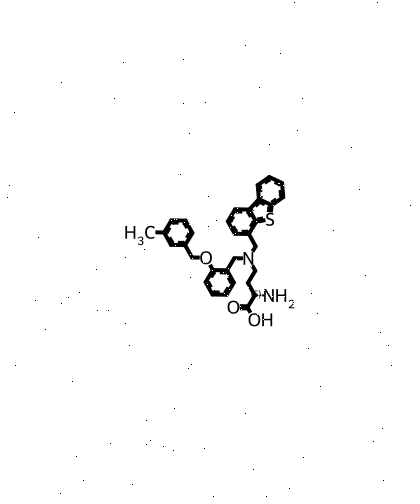 Cc1cccc(COc2ccccc2CN(CC[C@H](N)C(=O)O)Cc2cccc3c2sc2ccccc23)c1